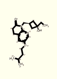 CC[C@]1(O)C[C@@H](CN2C(=O)CCc3cc(OCCC(C)C)cnc32)C1